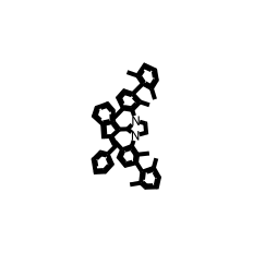 Cc1cccc(C)c1-c1ccc(C)c(N2CCN(c3c(C)ccc(-c4c(C)cccc4C)c3C)C2C2=c3ccccc3=CC2=Cc2ccccc2)c1C